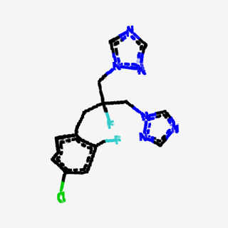 Fc1cc(Cl)ccc1CC(F)(Cn1cncn1)Cn1cncn1